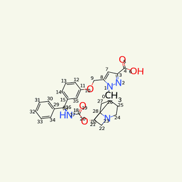 Cn1nc(C(=O)O)cc1COc1cccc([C@@H](NC(=O)O[C@]23CN4CCC2CC43)c2ccccc2)c1